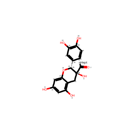 CCCCCCCC(=O)[C@]1(O)Cc2c(O)cc(O)cc2O[C@@H]1c1ccc(O)c(O)c1